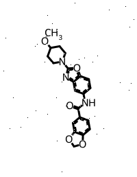 COC1CCN(c2nc3cc(NC(=O)c4ccc5c(c4)OCO5)ccc3o2)CC1